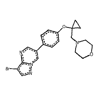 Brc1cnn2cc(-c3ccc(OC4(CN5CCOCC5)CC4)cc3)cnc12